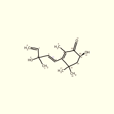 C=CC(C)(O)/C=C/C1=C(C)C(=O)[C@@H](O)CC1(C)C